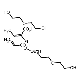 C=CC(=O)O.CC=C(CC)C(=O)O.O=C(O)O.OCCOCCO.OCCOCCO